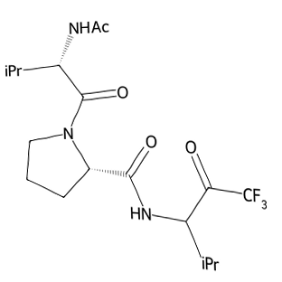 CC(=O)N[C@H](C(=O)N1CCC[C@H]1C(=O)NC(C(=O)C(F)(F)F)C(C)C)C(C)C